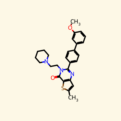 COc1cccc(-c2ccc(-c3nc4cc(C)sc4c(=O)n3CCN3CCCCC3)cc2)c1